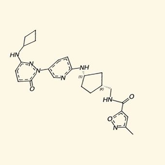 Cc1cc(C(=O)NC[C@@H]2CC[C@H](Nc3ccc(-n4nc(NC5CCC5)ccc4=O)cn3)C2)on1